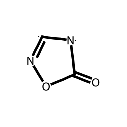 O=C1[N][C]=NO1